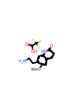 COc1cc2ccc(=O)[nH]c2cc1CCN.O=C(O)C(F)(F)F